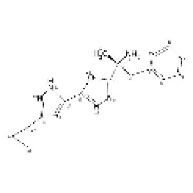 C[C@@](N)(Cc1ccccc1)c1nnc(-c2cc(C3CC3)n[nH]2)o1